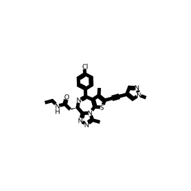 CCNC(=O)C[C@@H]1N=C(c2ccc(Cl)cc2)c2c(sc(C#Cc3cnn(C)c3)c2C)-n2c(C)nnc21